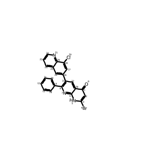 O=c1cc(Br)[nH]c2nc(-c3ccccc3)c(-c3cc(Cl)c4ncccc4c3)cc12